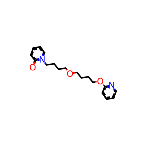 O=c1ccccn1CCCCOCCCCOc1ccccn1